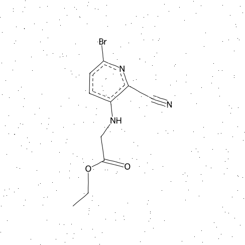 CCOC(=O)CNc1ccc(Br)nc1C#N